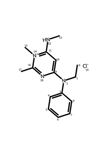 CCN(c1ccccc1)c1cc(NC)[n+](C)c(C)n1.[Cl-]